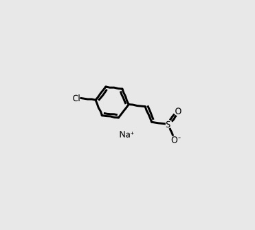 O=S([O-])/C=C/c1ccc(Cl)cc1.[Na+]